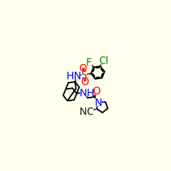 N#C[C@@H]1CCCN1C(=O)CNC12CC3CC(C1)CC(NS(=O)(=O)c1cccc(Cl)c1F)(C3)C2